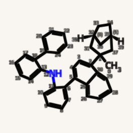 CC1(c2ccc(-c3ccccc3Nc3ccccc3-c3ccccc3)c3ccccc23)C[C@@H]2CC[C@@H](C2)C1